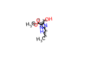 CCCCc1nc(CO)c(C(=O)OC)[nH]1